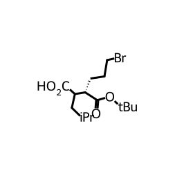 CC(C)CC(C(=O)O)[C@H](CCCBr)C(=O)OC(C)(C)C